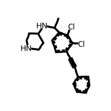 CC(NC1CCNCC1)c1ccc(C#Cc2ccccc2)c(Cl)c1Cl